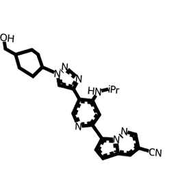 CC(C)Nc1cc(-c2ccc3cc(C#N)cnn23)ncc1-c1cn(C2CCC(CO)CC2)nn1